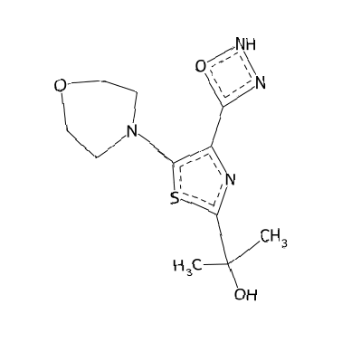 CC(C)(O)c1nc(-c2n[nH]o2)c(N2CCOCC2)s1